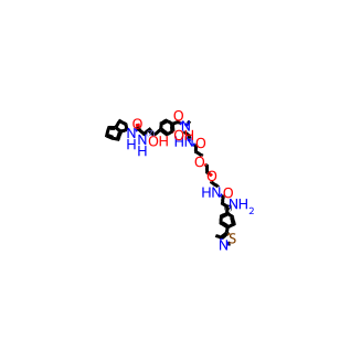 Cc1ncsc1-c1ccc([C@@H](N)CC(=O)NCCOCCOCCC(=O)NCCN(C)C(=O)c2ccc(/C(O)=C/C(=N)C(=O)NC3CCc4ccccc43)cc2O)cc1